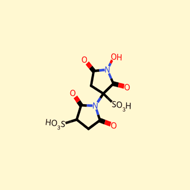 O=C1CC(N2C(=O)CC(S(=O)(=O)O)C2=O)(S(=O)(=O)O)C(=O)N1O